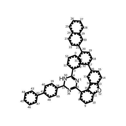 c1ccc(C2=NC(c3cccc4oc5ccc(-c6ccc(-c7ccc8ccccc8c7)cc6)cc5c34)=NC(c3ccc(-c4ccccc4)cc3)N2)cc1